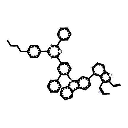 C=Cc1oc2cccc(-c3ccc4c5ccccc5n(-c5ccc(-c6nc(-c7ccccc7)nc(-c7ccc(CCCC)cc7)n6)cc5-c5ccccc5)c4c3)c2c1/C=C\C